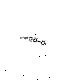 CCCCCCC[C@H]1CC[C@H](c2ccc(C#Cc3ccc(F)c(F)c3)cc2)CC1